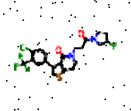 O=C(CCn1ccc2scc(-c3ccc(Cl)c(C(F)(F)F)c3)c2c1=O)N1CCC(F)C1